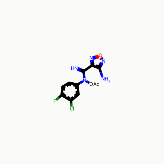 CC(=O)ON(C(=N)c1nonc1N)c1ccc(F)c(Cl)c1